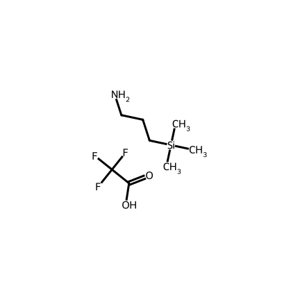 C[Si](C)(C)CCCN.O=C(O)C(F)(F)F